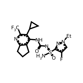 CCn1cc(F)c(S(N)(=O)=NC(=O)Nc2c3c(nc(C(F)(F)F)c2C2CC2)CCC3)n1